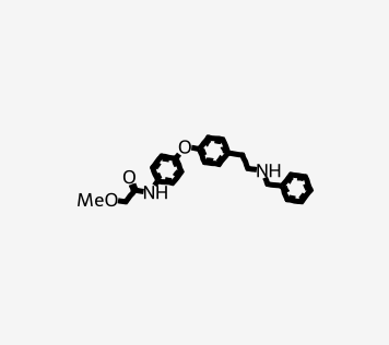 COCC(=O)Nc1ccc(Oc2ccc(CCNCc3ccccc3)cc2)cc1